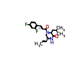 CC=C[C@H]1CN(C(=O)/C=C/c2ccc(F)cc2F)C(CC(C)C)C(=O)N1